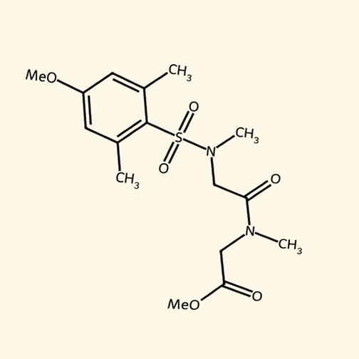 COC(=O)CN(C)C(=O)CN(C)S(=O)(=O)c1c(C)cc(OC)cc1C